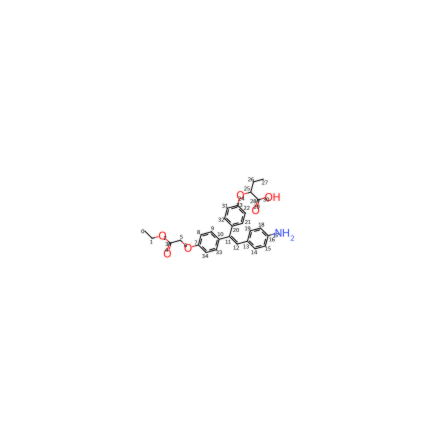 CCOC(=O)COc1ccc(C(=Cc2ccc(N)cc2)c2ccc(OC(CC)C(=O)O)cc2)cc1